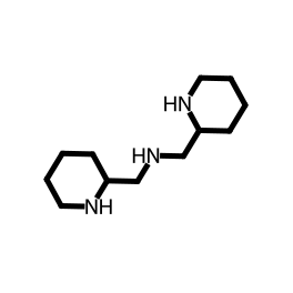 C1CCC(CNCC2CCCCN2)NC1